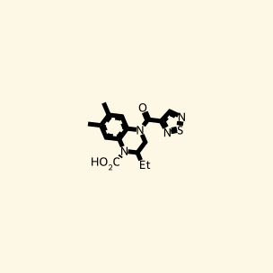 CCC1CN(C(=O)c2cnsn2)c2cc(C)c(C)cc2N1C(=O)O